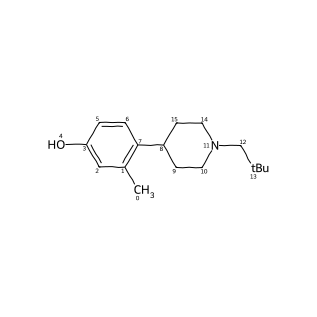 Cc1cc(O)ccc1C1CCN(CC(C)(C)C)CC1